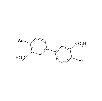 CC(=O)c1ccc(-c2ccc(C(C)=O)c(C(=O)O)c2)cc1C(=O)O